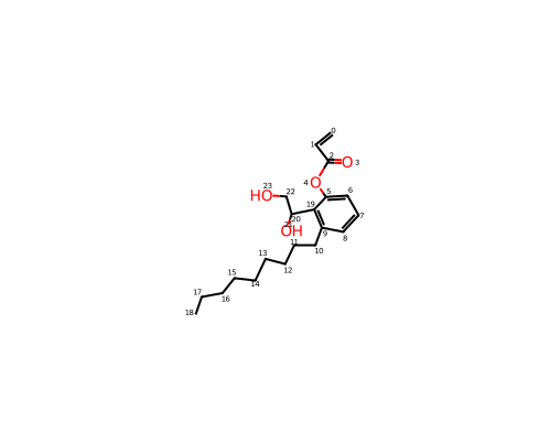 C=CC(=O)Oc1cccc(CCCCCCCCC)c1C(O)CO